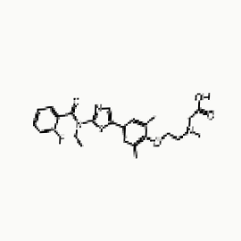 CCN(C(=O)c1ccccc1F)c1ncc(-c2cc(C)c(OCCN(C)CC(=O)O)c(C)c2)s1